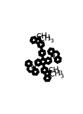 CC1(C)c2ccccc2-c2cc(-c3ccc(-c4c5ccc(N6c7ccccc7CCc7ccccc76)cc5c(-c5ccc6c(c5)C(C)(C)c5ccccc5-6)c5ccc(N6c7ccccc7CCc7ccccc76)cc45)cc3)ccc21